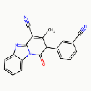 CC1=C(C#N)c2nc3ccccc3n2C(=O)C1c1cccc(C#N)c1